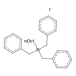 CCCCCCCC[N+](Cc1ccccc1)(Cc1ccccc1)Cc1ccccc1.[I-]